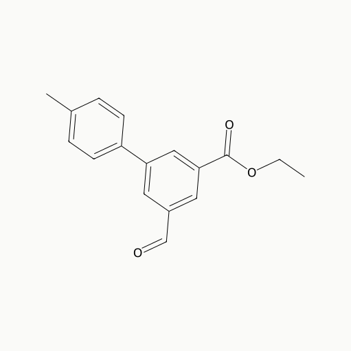 CCOC(=O)c1cc(C=O)cc(-c2ccc(C)cc2)c1